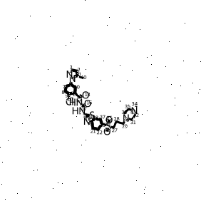 Cc1ccnn1-c1ccc(Cl)c(C(=O)NC(=O)Nc2nc3ccc(S(=O)(=O)CCCN4CCN(C)CC4)cc3s2)c1